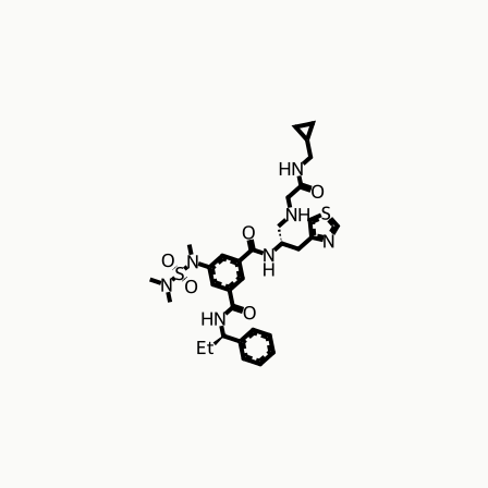 CC[C@@H](NC(=O)c1cc(C(=O)N[C@H](CNCC(=O)NCC2CC2)Cc2cscn2)cc(N(C)S(=O)(=O)N(C)C)c1)c1ccccc1